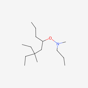 CCCC(CC(C)(CC)CC)ON(C)CCC